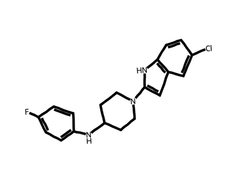 Fc1ccc(NC2CCN(c3cc4cc(Cl)ccc4[nH]3)CC2)cc1